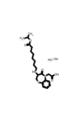 CC(N)OC(=O)CCCCCCCNC1CSc2ccccc2N(CC(=O)O)C1=O.Cl.Cl